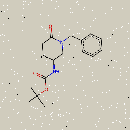 CC(C)(C)OC(=O)N[C@H]1CCC(=O)N(Cc2ccccc2)C1